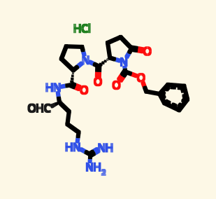 Cl.N=C(N)NCCC[C@@H](C=O)NC(=O)[C@@H]1CCCN1C(=O)[C@@H]1CCC(=O)N1C(=O)OCc1ccccc1